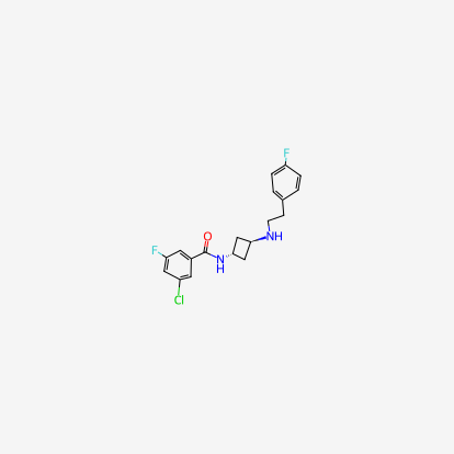 O=C(N[C@H]1C[C@H](NCCc2ccc(F)cc2)C1)c1cc(F)cc(Cl)c1